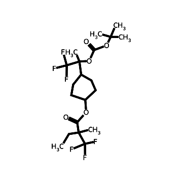 CCC(C)(C(=O)OC1CCC(C(C)(OC(=O)OC(C)(C)C)C(F)(F)F)CC1)C(F)(F)F